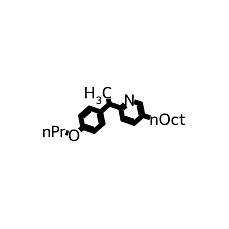 CCCCCCCCc1ccc(C(C)c2ccc(OCCC)cc2)nc1